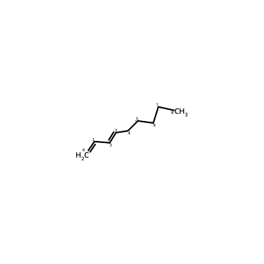 C=CC=CC[CH]CCC